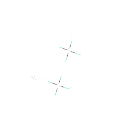 F[B-](F)(F)F.F[B-](F)(F)F.[Mn+2]